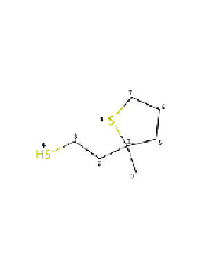 CC1(CCS)CCCS1